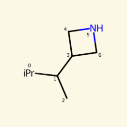 CC(C)C(C)C1CNC1